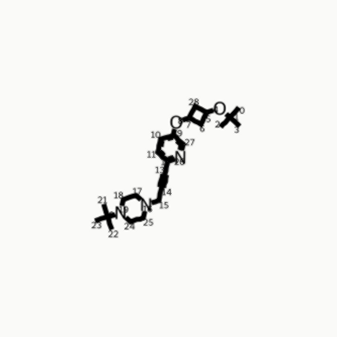 CC(C)(C)OC1CC(Oc2ccc(C#CCN3CCN(C(C)(C)C)CC3)nc2)C1